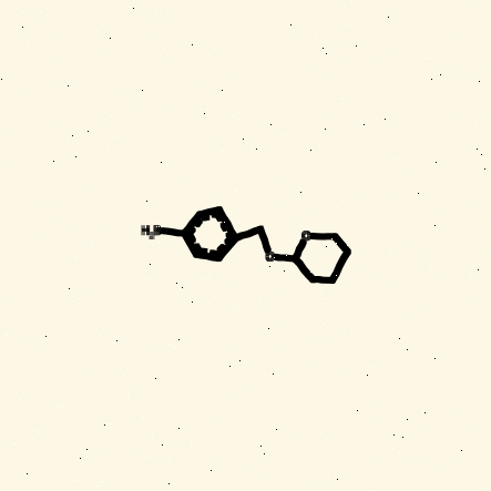 Bc1ccc(COC2CCCCO2)cc1